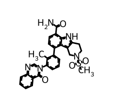 Cc1c(-c2ccc(C(N)=O)c3[nH]c4c(c23)CN(S(C)(=O)=O)CC4)cccc1-n1cnc2ccccc2c1=O